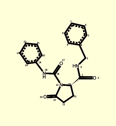 O=C(NCc1ccccc1)[C@@H]1CCC(=O)N1C(=O)Nc1ccccc1